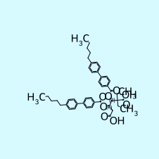 CCCCCc1ccc(-c2ccc(C(=O)O[C@H](CC(=O)O)[C@H](OC(=O)c3ccc(-c4ccc(CCCCC)cc4)cc3)C(CC)(CC)C(=O)O)cc2)cc1